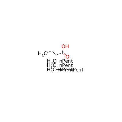 CCCC(=O)O.CCCCCC.CCCCCC.CCCCCC.CCCCCC